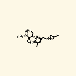 CCCNC(=O)C(CC(C)C)n1nc(CCN2CC(F)C2)cc(C)c1=O